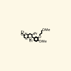 CCOC1=NC(C[C@H](Cc2ccc(OC)c(OCCCOC)c2)C(C)C)C(OCC)=NC1